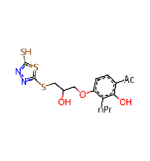 CCCc1c(OCC(O)CSc2nnc(S)s2)ccc(C(C)=O)c1O